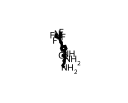 NCCC[C@H](N)C(=O)Nc1ccc(C#Cc2c(F)c(F)nc(F)c2F)cc1